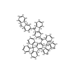 c1ccc(C2(c3ccccc3)c3ccccc3-c3cc4c(cc32)N(c2ccc3c(c2)c2ccccc2n3-c2ccc3oc5ccccc5c3c2)c2ccccc2C42c3ccsc3-c3sccc32)cc1